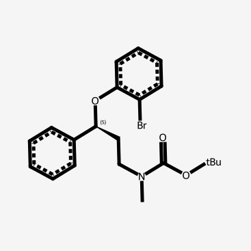 CN(CC[C@H](Oc1ccccc1Br)c1ccccc1)C(=O)OC(C)(C)C